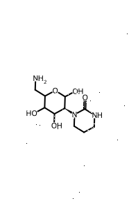 NCC1OC(O)[C@@H](N2CCCNC2=O)C(O)C1O